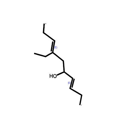 [CH2]C/C=C/C(O)C/C(=C/C[CH2])CC